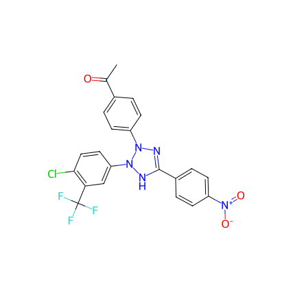 CC(=O)c1ccc(N2N=C(c3ccc([N+](=O)[O-])cc3)NN2c2ccc(Cl)c(C(F)(F)F)c2)cc1